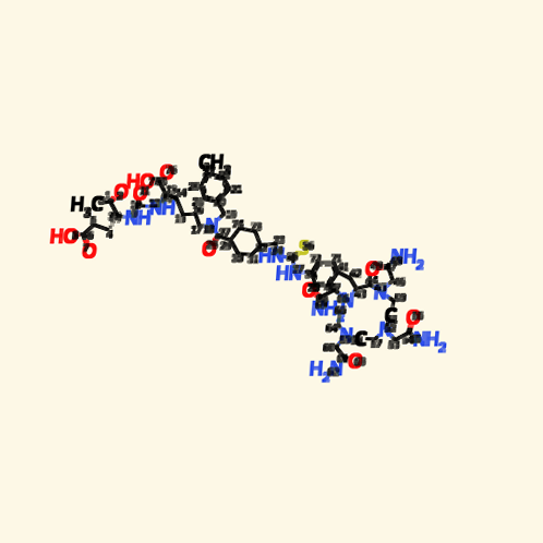 CC(=O)[C@@H](CCC(=O)O)NC(=O)N[C@H](CCCCN(Cc1ccc(C)cc1)C(=O)C1CCC(CNC(=S)Nc2ccc(CC3CN(CC(N)=O)CCN(CC(N)=O)CCN(CC(N)=O)CCN3CC(N)=O)cc2)CC1)C(=O)O